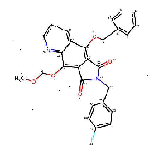 COCOc1c2c(c(OCc3ccccc3)c3cccnc13)C(=O)N(Cc1ccc(F)cc1)C2=O